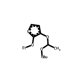 CCCCOC(C)Oc1ccsc1OCC